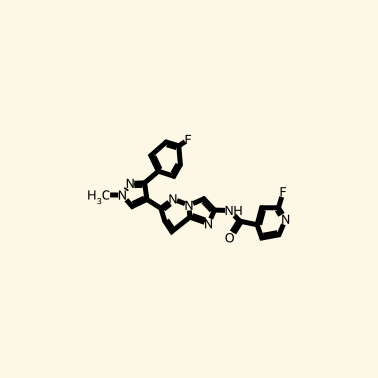 Cn1cc(-c2ccc3nc(NC(=O)c4ccnc(F)c4)cn3n2)c(-c2ccc(F)cc2)n1